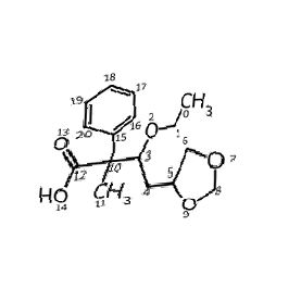 CCOC(CC1COCO1)C(C)(C(=O)O)c1ccccc1